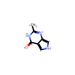 Cc1nc2c[nH]cc2c(=O)[nH]1